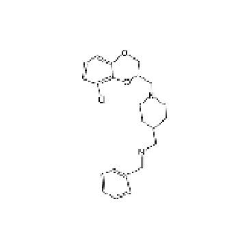 Clc1cccc2c1OC(CN1CCC(CN=Cc3ccccc3)CC1)CO2